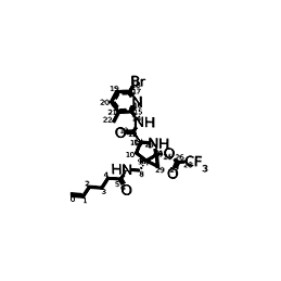 C=CCCCC(=O)NC[C@]12C[C@@H](C(=O)Nc3nc(Br)ccc3C)N[C@@]1(OC(=O)C(F)(F)F)C2